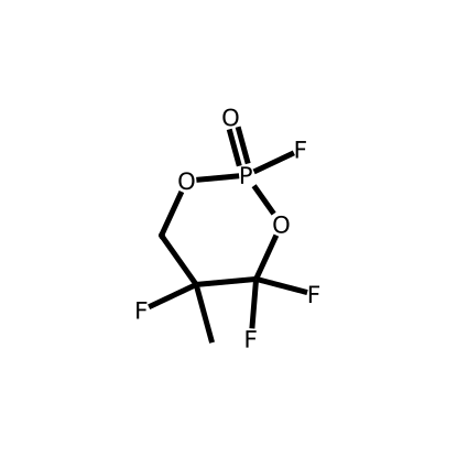 CC1(F)COP(=O)(F)OC1(F)F